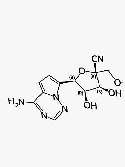 N#C[C@]1(C[O])O[C@H](c2ccc3c(N)ncnn23)[C@H](O)[C@@H]1O